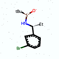 CC[C@@H](N[S@+]([O-])C(C)(C)C)c1cccc(Br)c1